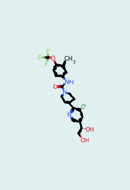 Cc1cc(NC(=O)N2CC=C(c3ncc([C@H](O)CO)cc3Cl)CC2)ccc1OC(F)(F)F